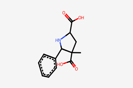 CC1(C(=O)O)CC(C(=O)O)NC1c1ccccc1